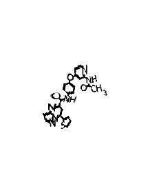 CC(=O)Nc1cc(Oc2ccc(NC(=O)c3cc(-c4cccs4)n4nccc4n3)cc2)ccn1